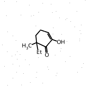 CCC1(C)CCC=C(O)C1=O